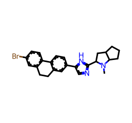 CN1C(c2ncc(-c3ccc4c(c3)CCc3cc(Br)ccc3-4)[nH]2)CC2CCCC21